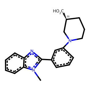 Cn1c(-c2cccc(N3CCC[C@H](C(=O)O)C3)c2)nc2ccccc21